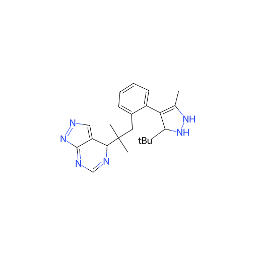 CC1=C(c2ccccc2CC(C)(C)C2N=CN=C3N=NC=C32)C(C(C)(C)C)NN1